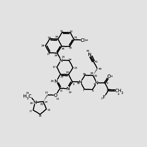 C=C(F)C(=O)N1CCN(c2nc(OC[C@@H]3CCCN3C)nc3c2CCN(c2cccc4ccc(Cl)cc24)C3)C[C@@H]1CC#N